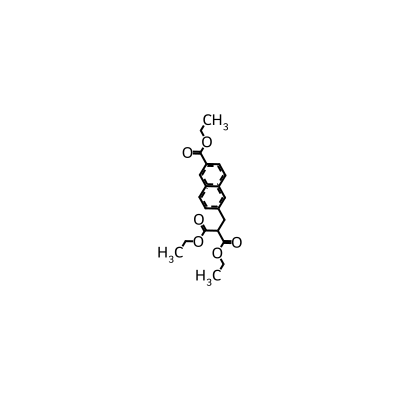 CCOC(=O)c1ccc2cc(CC(C(=O)OCC)C(=O)OCC)ccc2c1